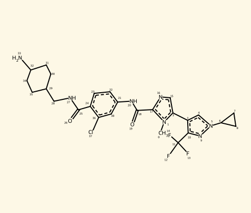 Cn1c(-c2cn(C3CC3)nc2C(F)(F)F)cnc1C(=O)Nc1ccc(C(=O)NCC2CCC(N)CC2)c(Cl)c1